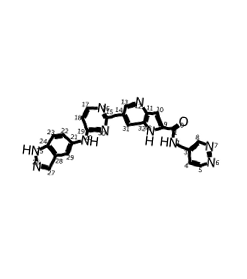 O=C(Nc1ccnnc1)c1cc2ncc(-c3nccc(Nc4ccc5[nH]ncc5c4)n3)cc2[nH]1